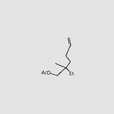 C=CCCC(C)(CC)COC(C)=O